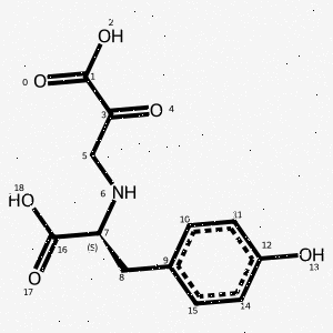 O=C(O)C(=O)CN[C@@H](Cc1ccc(O)cc1)C(=O)O